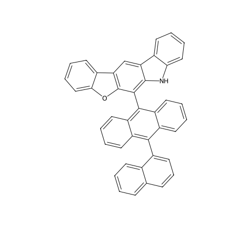 c1ccc2c(-c3c4ccccc4c(-c4c5[nH]c6ccccc6c5cc5c4oc4ccccc45)c4ccccc34)cccc2c1